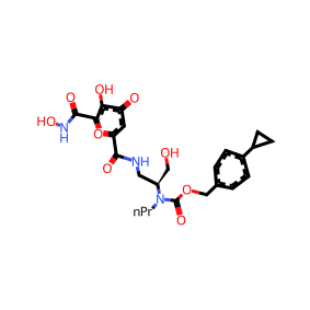 CCCN(C(=O)OCc1ccc(C2CC2)cc1)[C@H](CO)CNC(=O)c1cc(=O)c(O)c(C(=O)NO)o1